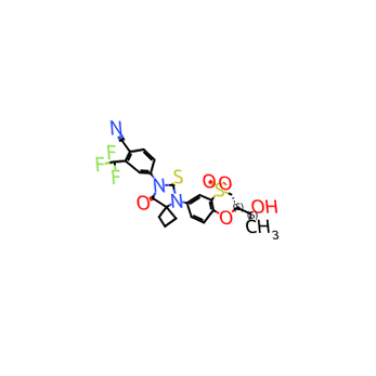 C[C@H](O)[C@H]1CS(=O)(=O)c2cc(N3C(=S)N(c4ccc(C#N)c(C(F)(F)F)c4)C(=O)C34CCC4)ccc2O1